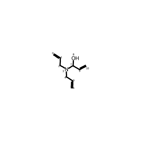 C=CCN(CC=C)[C](O)C=C